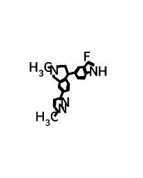 Cc1ccc(-c2ccc3c(c2)CN(C)CCC3c2ccc3[nH]cc(F)c3c2)nn1